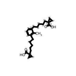 Cc1c(CCCCCC2(C(=O)O)CC2)cccc1CCCCCC1(C(=O)O)CC1